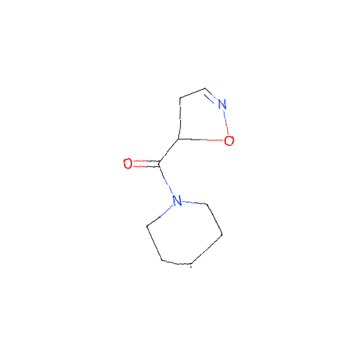 O=C(C1CC=NO1)N1CC[CH]CC1